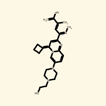 C=C(CCC)/C(C)=C/C(=N\C)C1=CC(=C2CCC2)N2C=C(N3CCN(CCO)CC3)C=CC2=N1